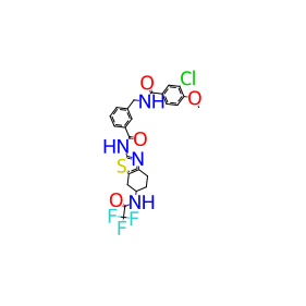 COc1ccc(C(=O)NCc2cccc(C(=O)Nc3nc4c(s3)CC(NC(=O)C(F)(F)F)CC4)c2)cc1Cl